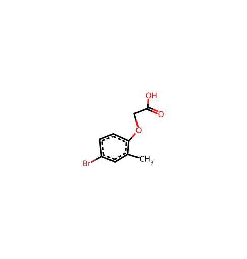 Cc1cc(Br)ccc1OCC(=O)O